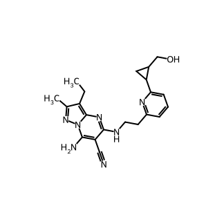 CCc1c(C)nn2c(N)c(C#N)c(NCCc3cccc(C4CC4CO)n3)nc12